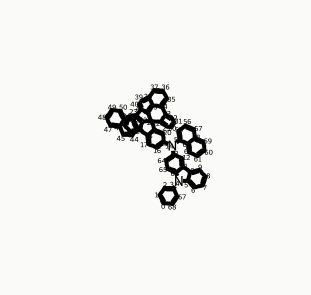 c1ccc(-n2c3ccccc3c3cc(N(c4ccc5c(c4)C4(c6ccccc6-5)c5ccccc5-c5cccc6ccc(-c7cccc8ccccc78)c4c56)c4cccc5ccccc45)ccc32)cc1